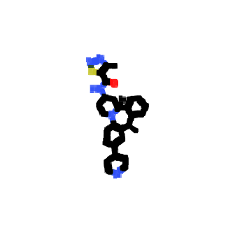 Cc1nnsc1C(=O)N[C@@H]1CCN2c3ccc(-c4ccncc4)cc3[C@H](C)c3ccccc3[C@H]2C1